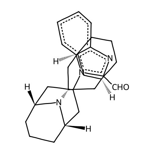 O=Cc1nc2ccccc2n1C1C[C@H]2CCC[C@@H](C1)N2[C@H]1C[C@@H]2CCC[C@@H](C2)C1